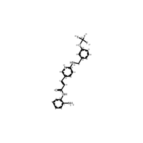 Nc1ccccc1NC(=O)C=Cc1ccc(NCc2cccc(OC(F)(F)F)c2)nc1